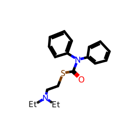 CCN(CC)CCSC(=O)N(c1ccccc1)c1ccccc1